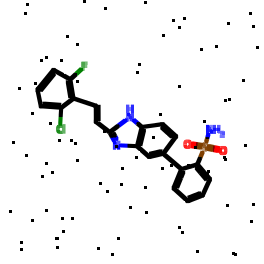 NS(=O)(=O)c1ccccc1-c1ccc2[nH]c(C=Cc3c(F)cccc3Cl)nc2c1